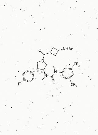 CC(=O)NC1CC(C(=O)N2C[C@@H](N(C)C(=O)N(C)c3cc(C(F)(F)F)cc(C(F)(F)F)c3)[C@H](c3ccc(F)cc3)C2)C1